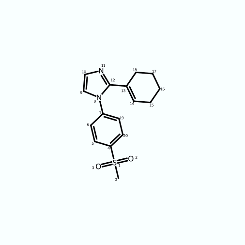 CS(=O)(=O)c1ccc(-n2ccnc2C2=CCCCC2)cc1